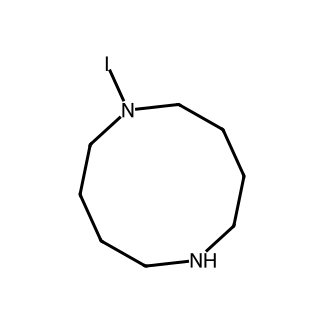 IN1CCCCNCCCC1